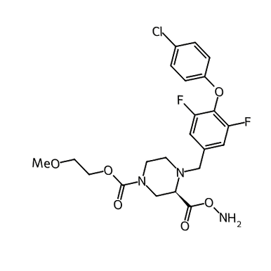 COCCOC(=O)N1CCN(Cc2cc(F)c(Oc3ccc(Cl)cc3)c(F)c2)[C@@H](C(=O)ON)C1